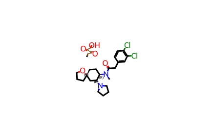 CN(C(=O)Cc1ccc(Cl)c(Cl)c1)[C@@H]1CC[C@]2(CCCO2)C[C@H]1N1CCCC1.CS(=O)(=O)O